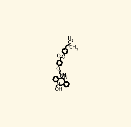 CC(C)Cc1ccc(OC(=O)c2ccc(OCCn3nnc4c3-c3ccccc3N(CO)Cc3ccccc3-4)cc2)cc1